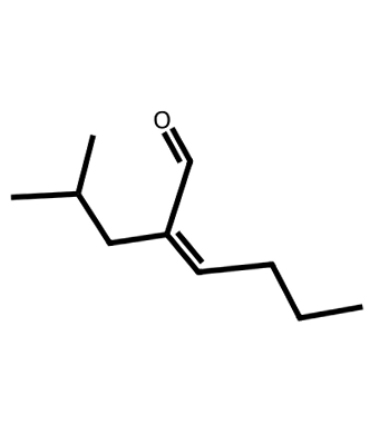 CCCC=C(C=O)CC(C)C